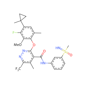 COc1c(F)c(C2(C)CC2)cc(C)c1Oc1nnc(C(F)(F)F)c(C)c1C(=O)Nc1cccc(S(C)(=N)=O)c1